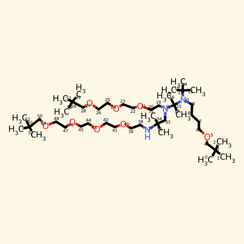 CC(C)(C)COCCCCN(C(C)(C)C)C(C)(C)N(CCOCCOCCOCC(C)(C)C)CC(C)(C)NCCOCCOCCOCCOCC(C)(C)C